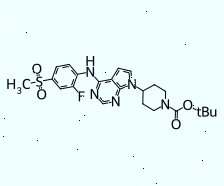 CC(C)(C)OC(=O)N1CCC(n2ccc3c(Nc4ccc(S(C)(=O)=O)cc4F)ncnc32)CC1